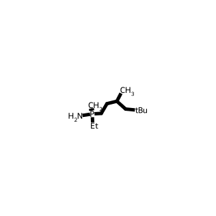 C=P(N)(CC)CCC(C)CC(C)(C)C